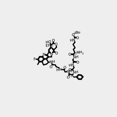 CC[C@@]1(O)C(=O)OCc2c1cc1n(c2=O)Cc2c-1nc1cc(F)c(C)c3c1c2[C@@H](NC(=O)CCCNC(=O)CNC(=O)[C@H](Cc1ccccc1)NC(=O)CNC(=O)CNC(=O)[C@@H](N)CCCCNC(=O)OC(C)(C)C)CC3